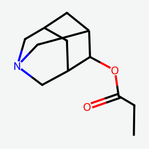 CCC(=O)OC1C2CC3CC1CN(C3)C2